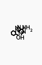 Nc1ncnc2c1nnn2C1CCCCC1CO